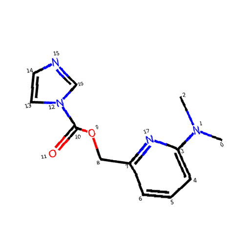 CN(C)c1cccc(COC(=O)n2ccnc2)n1